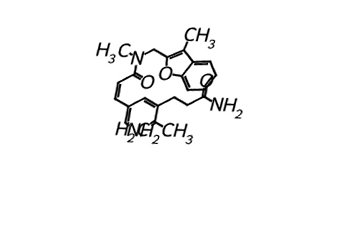 C=C(C)\C(=C/C(/C=C\C(=O)N(C)Cc1oc2ccccc2c1C)=C\N)CCC(N)=O